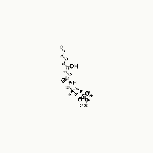 CCCCCC(O)CCC(=O)NCC(C)(C)CC[Si](OC)(OC)OC